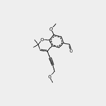 COCC#CC1=CC(C)(C)Oc2c(OC)cc(C=O)cc21